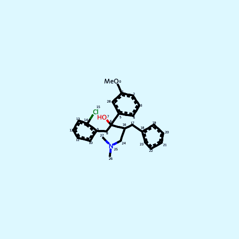 COc1cccc(C(O)(Cc2ccccc2Cl)C(Cc2ccccc2)CN(C)C)c1